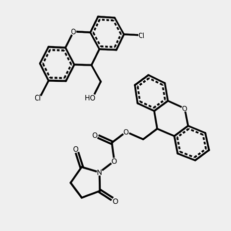 O=C(OCC1c2ccccc2Oc2ccccc21)ON1C(=O)CCC1=O.OCC1c2cc(Cl)ccc2Oc2ccc(Cl)cc21